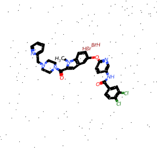 Br.Br.Cn1c(C(=O)N2CCN(Cc3ccccn3)CC2)cc2cc(Oc3ccc(NC(=O)c4ccc(Cl)c(Cl)c4)cn3)ccc21